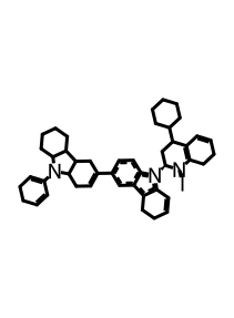 IN1C2=C(C=CCC2)C(C2CCCCC2)C[C@@H]1n1c2c(c3cc(C4=CCC5C(C4)C4CCCCC4N5C4=CCCC=C4)ccc31)CCC=C2